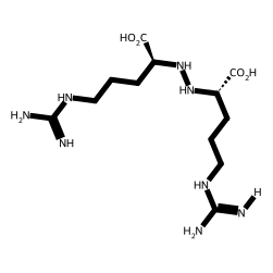 [H]/N=C(/N)NCCC[C@H](NN[C@@H](CCCNC(=N)N)C(=O)O)C(=O)O